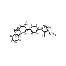 CC1NN=C(c2ccc(-c3cn4c5c(nc4cc3F)CCOC5)cc2)N1